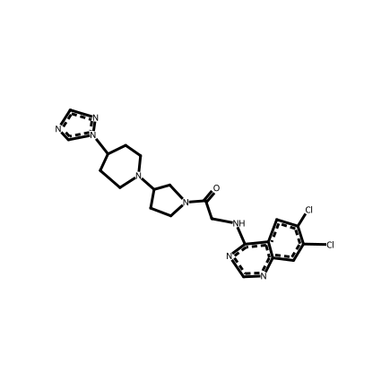 O=C(CNc1ncnc2cc(Cl)c(Cl)cc12)N1CCC(N2CCC(n3cncn3)CC2)C1